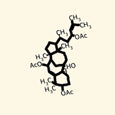 CC(=O)OC(C=C(C)C)C[C@@H](C)C1CC[C@@]2(C)C3CC(C=O)(CCC12C)[C@@H]1CCC(OC(C)=O)C(C)(C)C1=CC3OC(C)=O